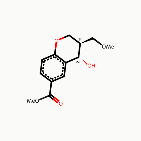 COC[C@@H]1COc2ccc(C(=O)OC)cc2[C@H]1O